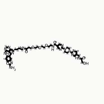 Nc1nc2cc(-c3nn(CCCCNC(=O)CCOCCOCCOCCNC(=O)c4cnc(N5CCN(c6ncc(CNC(=O)CO)cn6)CC5)nc4)c4ncnc(N)c34)ccc2o1